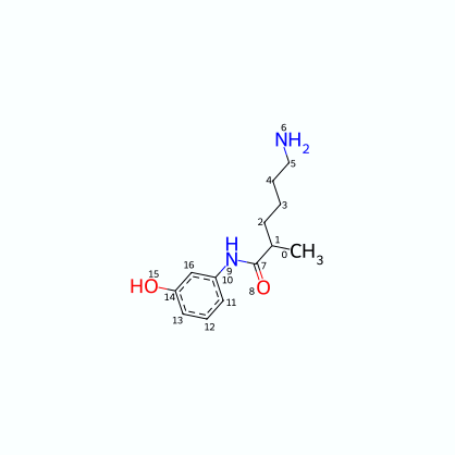 CC(CCCCN)C(=O)Nc1cccc(O)c1